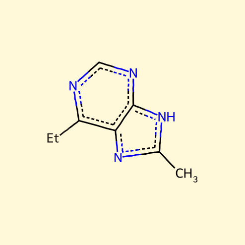 CCc1ncnc2[nH]c(C)nc12